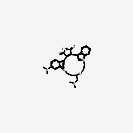 CN(C)CC1CCn2cc(c3ccc(N(C)C)cc32)C2=C(C(=O)NC2=O)c2cn(c3ccccc23)CCO1